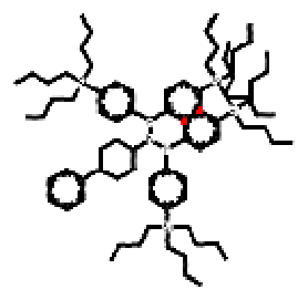 CCCC[Si](CCCC)(CCCC)c1ccc(P(c2ccc([Si](CCCC)(CCCC)CCCC)cc2)N(C2CCC(c3ccccc3)CC2)P(c2ccc([Si](CCCC)(CCCC)CCCC)cc2)c2ccc([Si](CCCC)(CCCC)CCCC)cc2)cc1